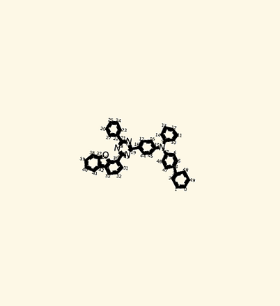 c1ccc(-c2ccc(N(c3ccccc3)c3ccc(-c4nc(-c5ccccc5)nc(-c5cccc6c5oc5ccccc56)n4)cc3)cc2)cc1